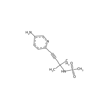 CC(C)(C#Cc1ccc(N)cn1)NS(C)(=O)=O